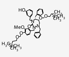 COc1cc(CN2C(=O)N(Cc3cccc(O)c3)[C@H](Cc3ccccc3)[C@H](OCOCC[Si](C)(C)C)CN2Cc2ccccc2)ccc1OCOCC[Si](C)(C)C